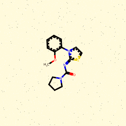 COc1ccccc1-n1ccsc1=NC(=O)N1CCCC1